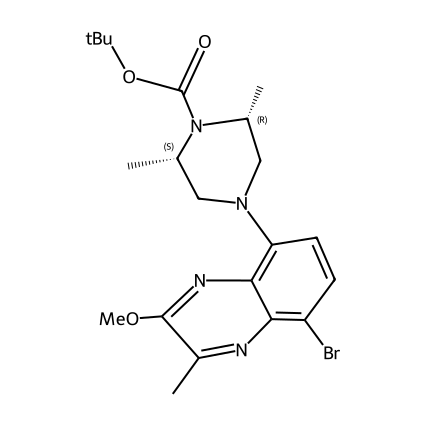 COc1nc2c(N3C[C@@H](C)N(C(=O)OC(C)(C)C)[C@@H](C)C3)ccc(Br)c2nc1C